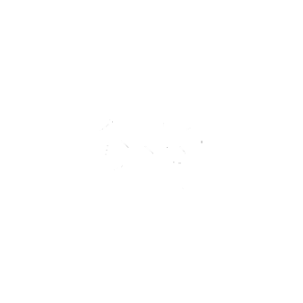 COC(=O)C1(c2cccc(F)c2C)C=C(c2cccc3cnsc23)CC1